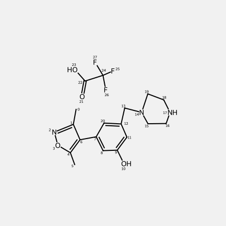 Cc1noc(C)c1-c1cc(O)cc(CN2CCNCC2)c1.O=C(O)C(F)(F)F